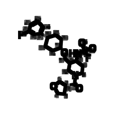 O=C([C@@H]1CCOC1)N1CCC(NS(=O)(=O)F)C(CO[C@H]2CC[C@@H](c3cccc(F)c3)CC2)C1